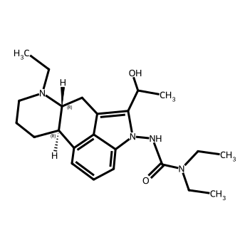 CCN(CC)C(=O)Nn1c(C(C)O)c2c3c(cccc31)[C@H]1CCCN(CC)[C@@H]1C2